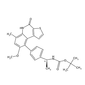 COc1cc(C)c2[nH]c(=O)c3sccc3c2c1-c1ccc([C@H](C)NC(=O)OC(C)(C)C)cc1